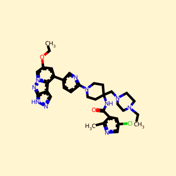 CCOc1cc(-c2ccc(N3CCC(CN4CCN(CC)CC4)(NC(=O)c4cc(Cl)cnc4C)CC3)nc2)c2c3cn[nH]c3nn2c1